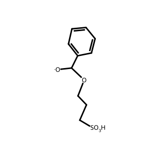 [O]C(OCCCS(=O)(=O)O)c1ccccc1